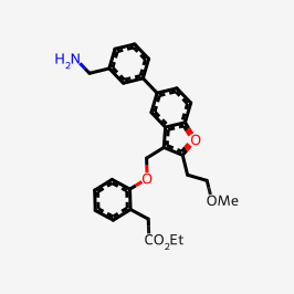 CCOC(=O)Cc1ccccc1OCc1c(CCOC)oc2ccc(-c3cccc(CN)c3)cc12